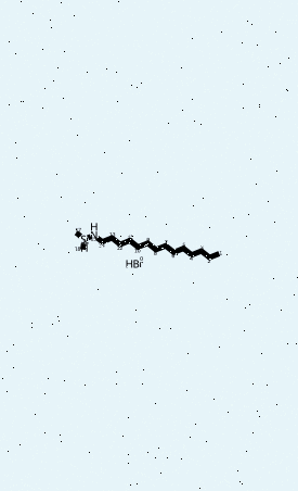 Br.CCCCCCCCCCCCCCN[SiH](C)C